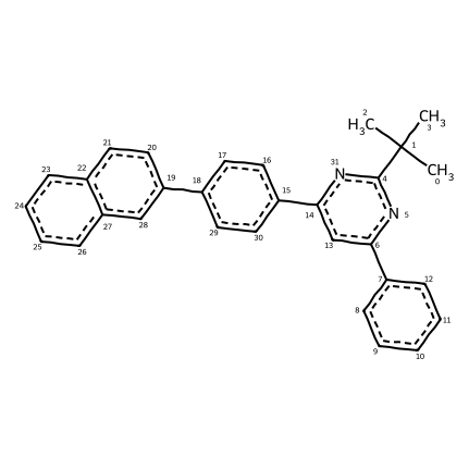 CC(C)(C)c1nc(-c2ccccc2)cc(-c2ccc(-c3ccc4ccccc4c3)cc2)n1